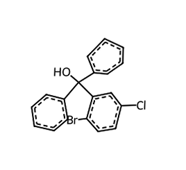 OC(c1ccccc1)(c1ccccc1)c1cc(Cl)ccc1Br